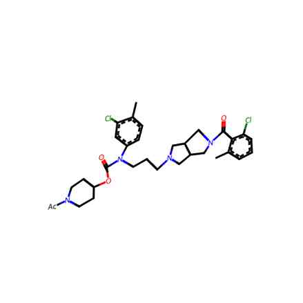 CC(=O)N1CCC(OC(=O)N(CCCN2CC3CN(C(=O)c4c(C)cccc4Cl)CC3C2)c2ccc(C)c(Cl)c2)CC1